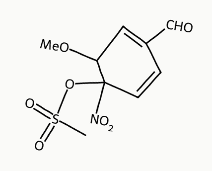 COC1C=C(C=O)C=CC1(OS(C)(=O)=O)[N+](=O)[O-]